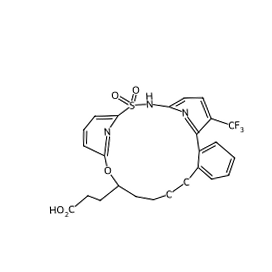 O=C(O)CCC1CCCCc2ccccc2-c2nc(ccc2C(F)(F)F)NS(=O)(=O)c2cccc(n2)O1